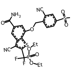 CCOP(=O)(OCC)C(F)(F)c1sc2c(OCc3ccc(S(C)(=O)=O)cc3C#N)cc(C(N)=O)cc2c1C#N